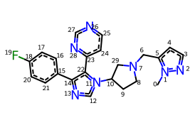 Cn1nccc1CN1CCC(n2cnc(-c3ccc(F)cc3)c2-c2ccncn2)C1